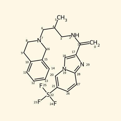 C=C(NCC(C)CN1CCc2ccccc2C1)c1cn2cc(S(F)(F)F)ccc2n1